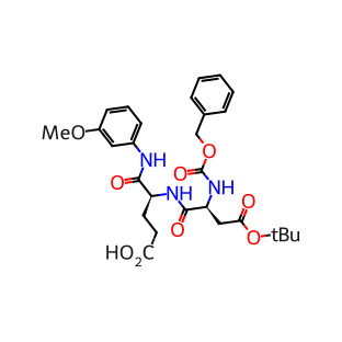 COc1cccc(NC(=O)[C@H](CCC(=O)O)NC(=O)[C@H](CC(=O)OC(C)(C)C)NC(=O)OCc2ccccc2)c1